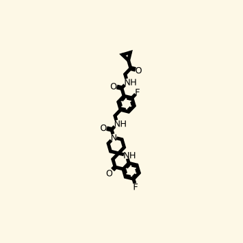 O=C(NCC(=O)C1CC1)c1cc(CNC(=O)N2CCC3(CC2)CC(=O)c2cc(F)ccc2N3)ccc1F